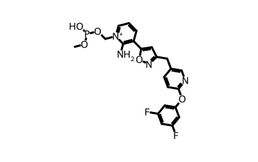 COP(O)OC[n+]1cccc(-c2cc(Cc3ccc(Oc4cc(F)cc(F)c4)nc3)no2)c1N